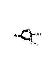 CN1C=C(Br)C=NC1O